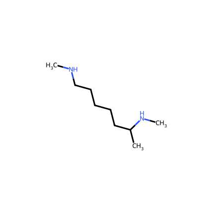 CNCCCCCC(C)NC